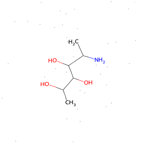 [CH2]C(N)C(O)C(O)C(C)O